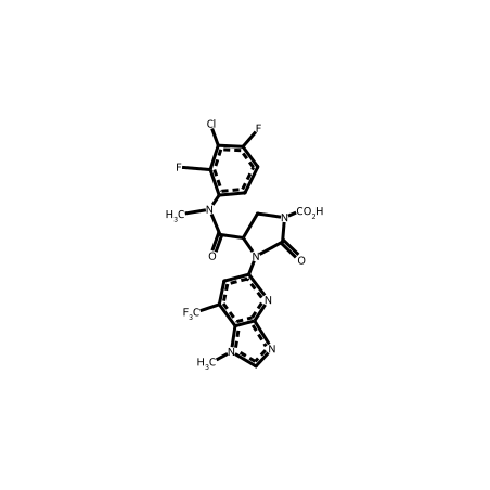 CN(C(=O)C1CN(C(=O)O)C(=O)N1c1cc(C(F)(F)F)c2c(ncn2C)n1)c1ccc(F)c(Cl)c1F